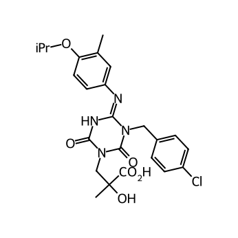 Cc1cc(N=c2[nH]c(=O)n(CC(C)(O)C(=O)O)c(=O)n2Cc2ccc(Cl)cc2)ccc1OC(C)C